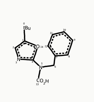 CC(C)(C)c1cnc(N(Cc2ccccc2)C(=O)O)o1